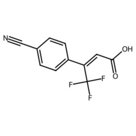 N#Cc1ccc(/C(=C/C(=O)O)C(F)(F)F)cc1